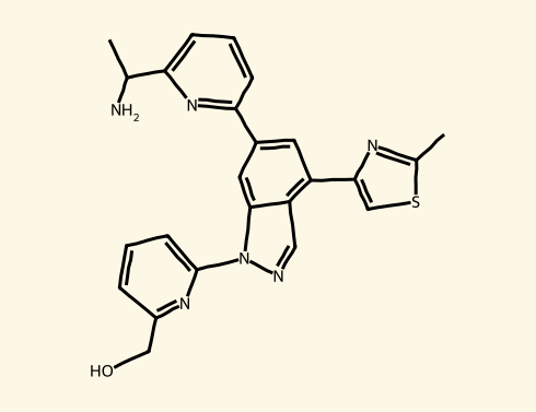 Cc1nc(-c2cc(-c3cccc(C(C)N)n3)cc3c2cnn3-c2cccc(CO)n2)cs1